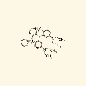 CCN(CC)c1ccc(C)c(C(c2cc(N(CC)CC)ccc2C)c2ccccc2N(c2ccccc2)c2ccccc2)c1